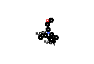 CC1(C)c2ccccc2-c2ccc(N(c3ccc(-c4ccc5oc6ccccc6c5c4)cc3)c3ccc4c(c3)C3(c5ccccc5-4)c4ccccc4C(C)(C)c4ccccc43)cc21